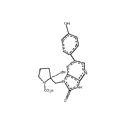 CC(C)(C)C1(Cn2c(=O)[nH]c3ncc(-c4ccc(O)cc4)nc32)CCCN1C(=O)O